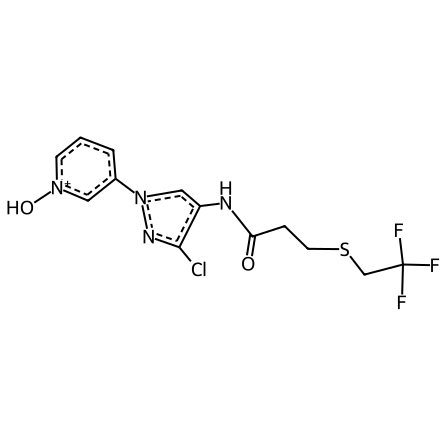 O=C(CCSCC(F)(F)F)Nc1cn(-c2ccc[n+](O)c2)nc1Cl